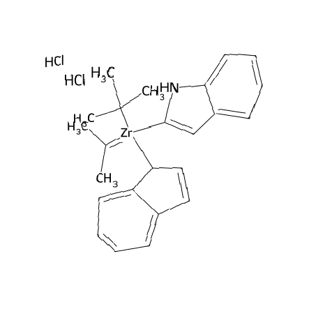 C[C](C)=[Zr]([c]1cc2ccccc2[nH]1)([CH]1C=Cc2ccccc21)[C](C)(C)C.Cl.Cl